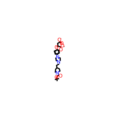 COC(=O)CC(Oc1ccc(N2CCN(CCC3CCN(C(=O)OC(C)(C)C)CC3)CC2)cc1)C(=O)OC